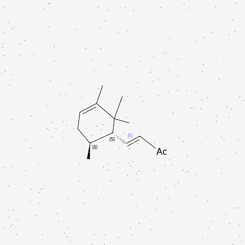 CC(=O)/C=C/[C@@H]1[C@@H](C)CC=C(C)C1(C)C